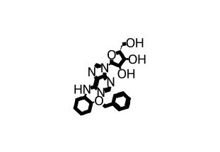 OC[C@H]1O[C@@H](n2cnc3c(N[C@@H]4CCCC[C@H]4OCc4ccccc4)ncnc32)[C@H](O)[C@@H]1O